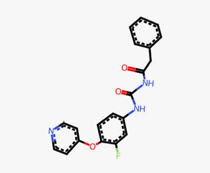 O=C(Cc1ccccc1)NC(=O)Nc1ccc(Oc2c[c]ncc2)c(F)c1